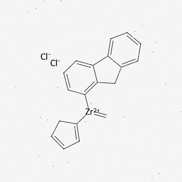 [CH2]=[Zr+2]([C]1=CC=CC1)[c]1cccc2c1Cc1ccccc1-2.[Cl-].[Cl-]